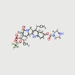 CCc1c2c(nc3ccc(OC(=O)N4CCNCC4)cc13)-c1cc3c(c(=O)n1C2)COC(=O)[C@@]3(CC)OC(=O)C(F)(F)F